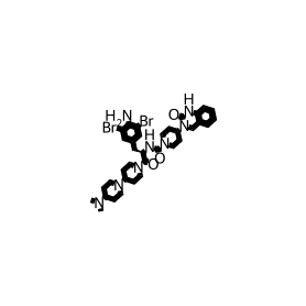 CN(C)C1CCN(C2CCN(C(=O)[C@@H](Cc3cc(Br)c(N)c(Br)c3)NC(=O)N3CCC(N4Cc5ccccc5NC4=O)CC3)CC2)CC1